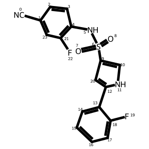 N#Cc1ccc(NS(=O)(=O)c2c[nH]c(-c3ccccc3F)c2)c(F)c1